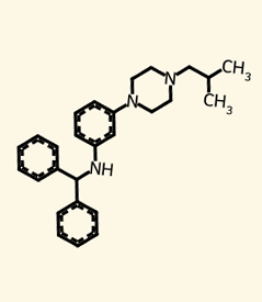 CC(C)CN1CCN(c2cccc(NC(c3ccccc3)c3ccccc3)c2)CC1